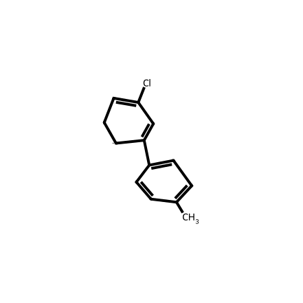 Cc1ccc(C2=CC(Cl)=CC[CH]2)cc1